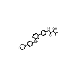 CC(C)[C@H](O)C(=O)Nc1ccc(-c2ccnc(Nc3ccc(N4CCOCC4)cc3)n2)cc1